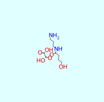 NCCCNC(=O)CCCO.O=C(O)C(=O)O